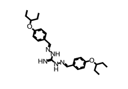 CCC(CC)Oc1ccc(/C=N/NC(=N)N/N=C/c2ccc(OC(CC)CC)cc2)cc1